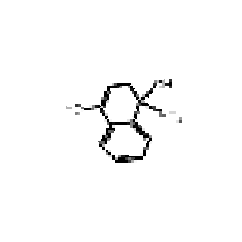 NC1(O)CC=C(O)c2ccccc21